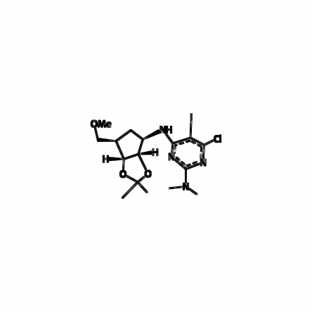 COC[C@H]1C[C@@H](Nc2nc(N(C)C)nc(Cl)c2I)[C@@H]2OC(C)(C)O[C@H]12